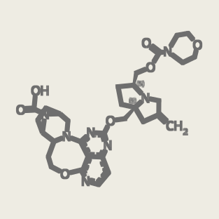 C=C1CN2[C@H](COC(=O)N3CCOCC3)CC[C@@]2(COc2nc3c4c(nccc4n2)OCCC2C4CCC(CN32)N4C(=O)O)C1